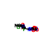 CN1C(=O)CCC(N2C(=O)c3ccc(N4CCN(CCCCCc5ccc(N6C(=S)N(c7ccc(C#N)c(Cl)c7)C(=O)C6(C)C)cc5F)CC4)cc3C2=O)C1=O